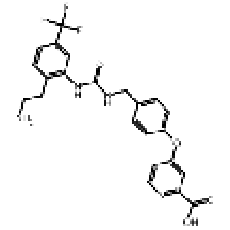 NCCc1ccc(C(F)(F)F)cc1NC(=O)NCc1ccc(Oc2ccnc(C(=O)O)c2)cc1